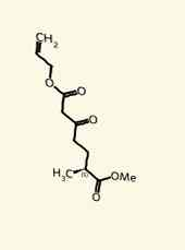 C=CCOC(=O)CC(=O)CC[C@H](C)C(=O)OC